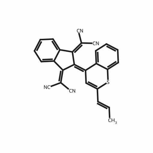 C/C=C/C1=CC(=C2C(=C(C#N)C#N)c3ccccc3C2=C(C#N)C#N)c2ccccc2S1